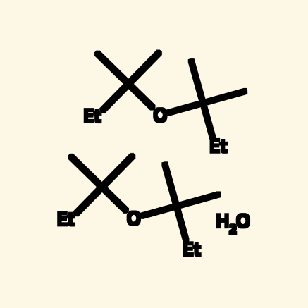 CCC(C)(C)OC(C)(C)CC.CCC(C)(C)OC(C)(C)CC.O